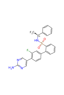 Nc1ncc(-c2ccc(-c3ccccc3S(=O)(=O)N[C@H](c3ccccc3)C(F)(F)F)cc2F)cn1